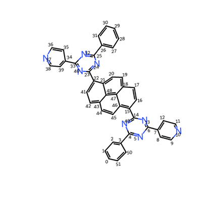 c1ccc(-c2nc(-c3ccncc3)nc(-c3ccc4ccc5c(-c6nc(-c7ccccc7)nc(-c7ccncc7)n6)ccc6ccc3c4c65)n2)cc1